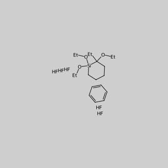 CCOC1(CC)CCCC[Si]1(OCC)OCC.F.F.F.F.F.c1ccccc1